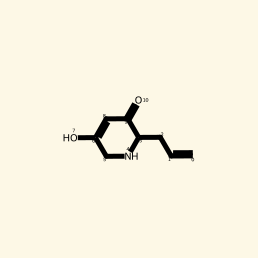 C=CCC1NCC(O)=CC1=O